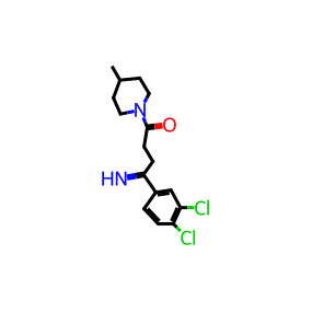 CC1CCN(C(=O)CCC(=N)c2ccc(Cl)c(Cl)c2)CC1